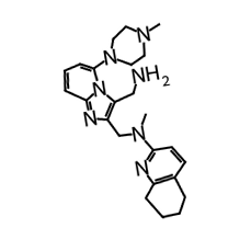 CN1CCN(c2cccc3nc(CN(C)c4ccc5c(n4)CCCC5)c(CN)n23)CC1